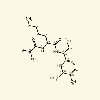 C[C@H](N)C(=O)N[C@@H](CCCCN)C(=O)N[C@@H](CO)C(=O)N[C@H](C(=O)O)[C@@H](C)O